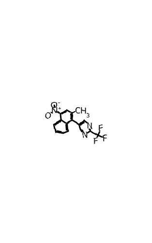 Cc1cc([N+](=O)[O-])c2ccccc2c1-c1cnc(C(F)(F)F)nc1